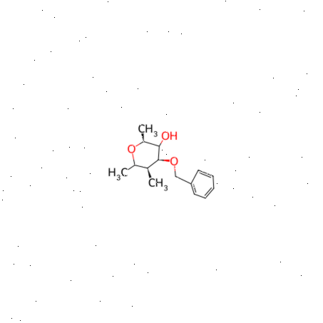 CC1O[C@@H](C)C(O)[C@@H](OCc2ccccc2)[C@H]1C